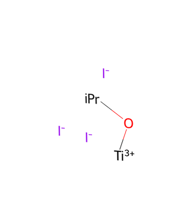 CC(C)[O][Ti+3].[I-].[I-].[I-]